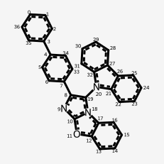 c1ccc(-c2ccc(-c3nc4oc5ccccc5n4c3-n3c4ccccc4c4ccccc43)cc2)cc1